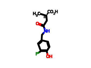 C[C@@H](CC(=O)NCc1ccc(O)c(F)c1)C(=O)O